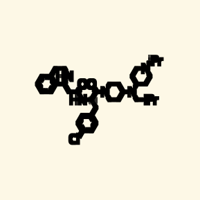 CC(C)CN(C1CCN(C(=O)[C@@H](Cc2ccc(Cl)cc2)NC(=O)CC2NCCc3ccccc32)CC1)C1CCN(C(C)C)CC1